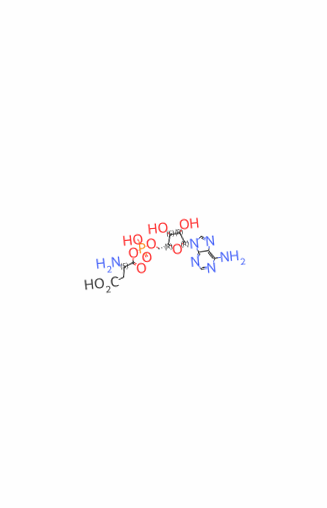 Nc1ncnc2c1ncn2[C@@H]1O[C@H](COP(=O)(O)OC(=O)[C@@H](N)CC(=O)O)[C@@H](O)[C@H]1O